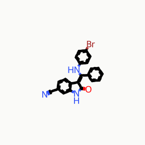 N#Cc1ccc2c(c1)NC(=O)C2=C(Nc1ccc(Br)cc1)c1ccccc1